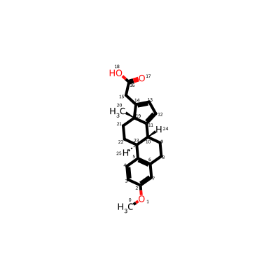 COc1ccc2c(c1)CC[C@H]1C3=CC=C(CC(=O)O)[C@@]3(C)CC[C@H]21